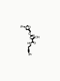 CC(C)C#CCCNC(=O)c1cnc(OC=C2CN(C(C)C)CO2)s1.Cl